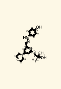 CC(C)(O)COc1cc(N2CCOCC2)cc(C=NNc2ccc(O)cc2)n1